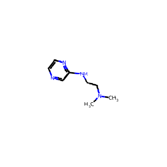 CN(C)CCNc1cnccn1